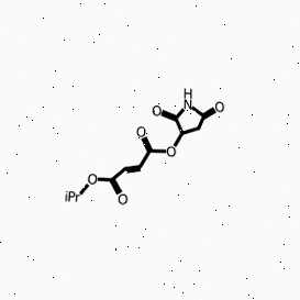 CC(C)OC(=O)/C=C/C(=O)OC1CC(=O)NC1=O